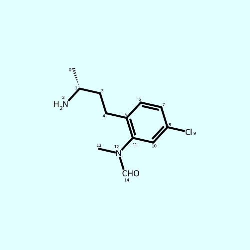 C[C@@H](N)CCc1ccc(Cl)cc1N(C)C=O